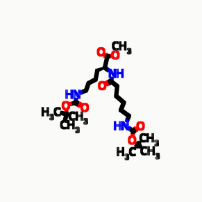 COC(=O)[C@H](CCCCNC(=O)OC(C)(C)C)NC(=O)CCCCCNC(=O)OC(C)(C)C